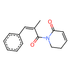 CC(=Cc1ccccc1)C(=O)N1CCC=CC1=O